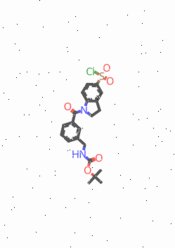 CC(C)(C)OC(=O)NCc1cccc(C(=O)N2CCc3cc(S(=O)(=O)Cl)ccc32)c1